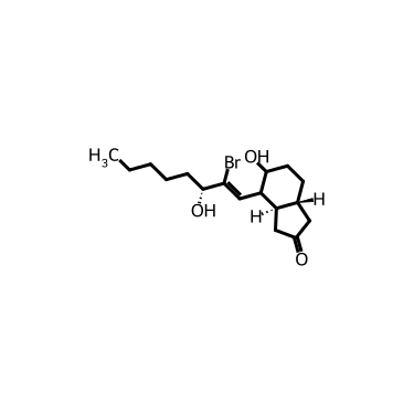 CCCCC[C@@H](O)C(Br)=CC1C(O)CC[C@@H]2CC(=O)C[C@@H]12